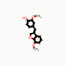 COc1cc(/C=C2\COc3c(OC)cccc32)ccc1O